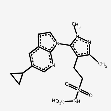 Cc1nn(C)c(-n2ccc3cc(C4CC4)cnc32)c1CCS(=O)(=O)NC(=O)O